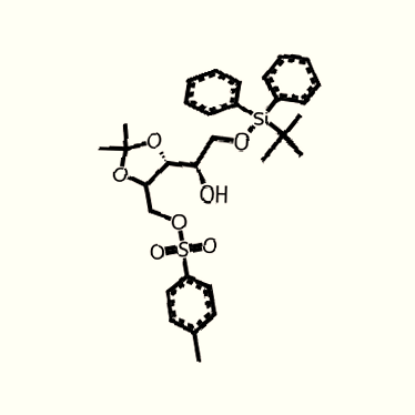 Cc1ccc(S(=O)(=O)OCC2OC(C)(C)O[C@@H]2[C@H](O)CO[Si](c2ccccc2)(c2ccccc2)C(C)(C)C)cc1